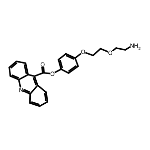 NCCOCCOc1ccc(OC(=O)c2c3ccccc3nc3ccccc23)cc1